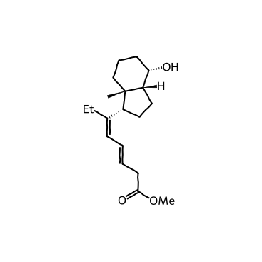 CC/C(=C/C=C/CC(=O)OC)[C@H]1CC[C@H]2[C@@H](O)CCC[C@@]12C